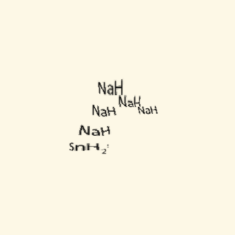 [NaH].[NaH].[NaH].[NaH].[NaH].[SnH2]